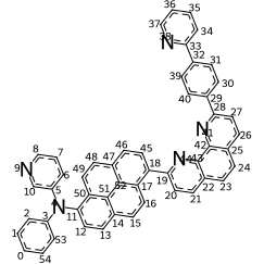 c1ccc(N(c2cccnc2)c2ccc3ccc4c(-c5ccc6ccc7ccc(-c8ccc(-c9ccccn9)cc8)nc7c6n5)ccc5ccc2c3c54)cc1